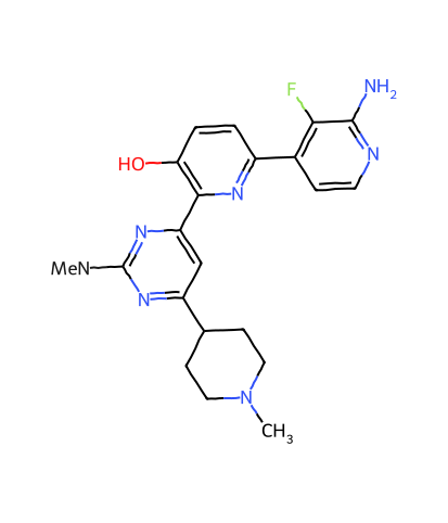 CNc1nc(-c2nc(-c3ccnc(N)c3F)ccc2O)cc(C2CCN(C)CC2)n1